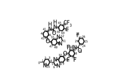 Cc1ccc(-c2cnc3ccc(Oc4c(F)c(F)cc(NC(=O)c5cccc(F)c5)c4F)cc3n2)cn1.O=C(Nc1cccc(Oc2ccc3nccnc3c2)c1)Nc1ccc(F)c(C(F)(F)F)c1